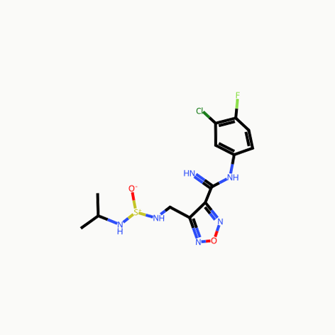 CC(C)N[S+]([O-])NCc1nonc1C(=N)Nc1ccc(F)c(Cl)c1